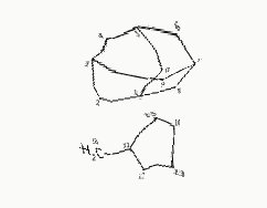 C1[C]2CC3CC1CC(C2)C3.[CH2]C1CCCC1